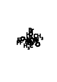 CCN1C(=O)C(NC(=O)c2cccc(C(F)(F)F)c2)[C@@H](c2ccc(Br)cc2)c2c(C)nn(-c3ccccc3)c21